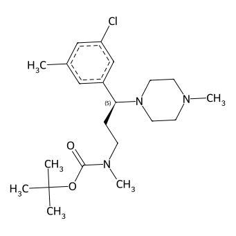 Cc1cc(Cl)cc([C@H](CCN(C)C(=O)OC(C)(C)C)N2CCN(C)CC2)c1